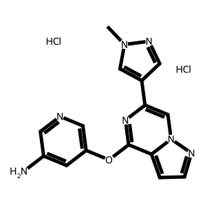 Cl.Cl.Cn1cc(-c2cn3nccc3c(Oc3cncc(N)c3)n2)cn1